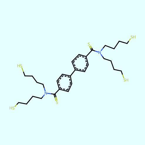 S=C(c1ccc(-c2ccc(C(=S)N(CCCCS)CCCCS)cc2)cc1)N(CCCCS)CCCCS